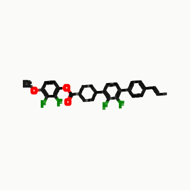 C/C=C/c1ccc(-c2ccc(C3CCC(C(=O)Oc4ccc(OCC)c(F)c4F)CC3)c(F)c2F)cc1